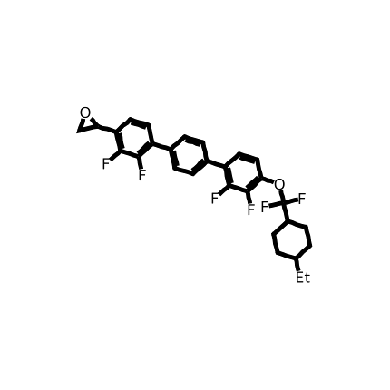 CCC1CCC(C(F)(F)Oc2ccc(-c3ccc(-c4ccc(C5CO5)c(F)c4F)cc3)c(F)c2F)CC1